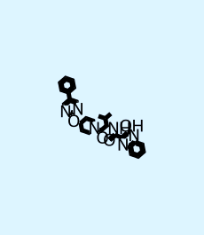 CC(C)[C@H](NC(=O)c1nc2ccccc2nc1O)C(=O)N1CCC(Oc2ncc(-c3ccccc3)cn2)CC1